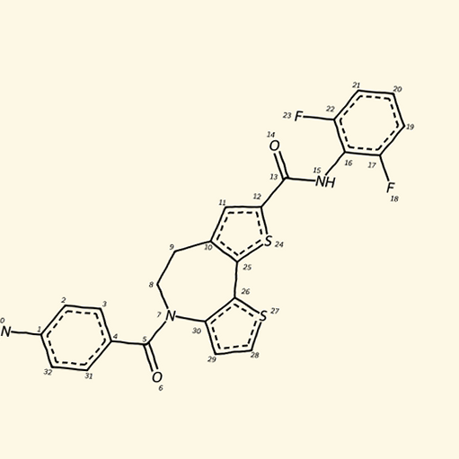 Nc1ccc(C(=O)N2CCc3cc(C(=O)Nc4c(F)cccc4F)sc3-c3sccc32)cc1